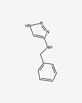 c1ccc(CNc2c[nH]nn2)cc1